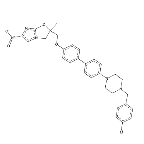 CC1(COc2ccc(-c3ccc(N4CCN(Cc5ccc(Cl)cc5)CC4)cc3)cc2)Cn2cc([N+](=O)[O-])nc2O1